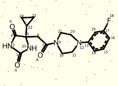 O=C1NC(=O)C(CC(=O)N2CCN(c3cccc(F)c3)CC2)(C2CC2)N1